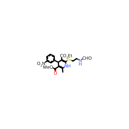 CCOC(=O)C1=C(SCCNC=O)NC(C)=C(C(=O)OC)C1c1cccc([N+](=O)[O-])c1